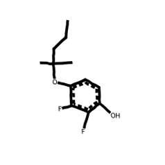 CCCC(C)(C)Oc1ccc(O)c(F)c1F